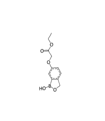 CCOC(=O)COc1ccc2c(c1)B(O)OC2